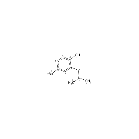 CN(C)Cc1cc(C(C)(C)C)ccc1O